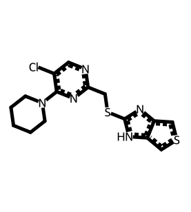 Clc1cnc(CSc2nc3cscc3[nH]2)nc1N1CCCCC1